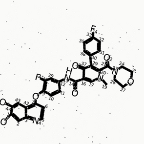 COc1cc2nccc(Oc3ccc(NC(=O)c4cn(C)c(C(=O)N5CCOCC5)c(-c5ccc(F)cc5)c4=O)cc3F)c2cc1OC